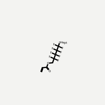 C=CC(=O)OCC(F)(F)C(F)(F)C(F)(F)C(F)(F)CCCCCCC